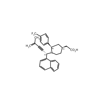 C=C(C)C#C[C@@H](c1cccc2ccccc12)N1CC[C@H](CC(=O)O)C[C@@H]1c1ccc(C(F)(F)F)cc1